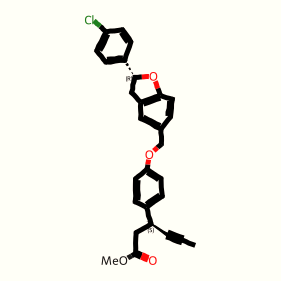 CC#C[C@@H](CC(=O)OC)c1ccc(OCc2ccc3c(c2)C[C@H](c2ccc(Cl)cc2)O3)cc1